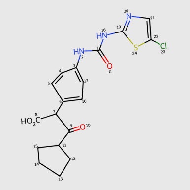 O=C(Nc1ccc(C(C(=O)O)C(=O)C2CCCC2)cc1)Nc1ncc(Cl)s1